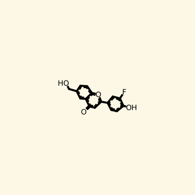 O=c1cc(-c2ccc(O)c(F)c2)oc2ccc(CO)cc12